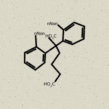 CCCCCCCCCc1ccccc1C(CCCC(=O)O)(C(=O)O)c1ccccc1CCCCCCCCC